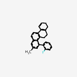 Cc1cc(-c2ccccc2F)c2c3c(ccc2c1)C1=C(CCC=C1)CC3